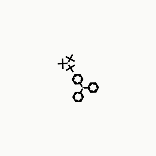 CC(C)(C)P(C(C)(C)C)C(C)(C)C.c1ccc(P(c2ccccc2)c2ccccc2)cc1